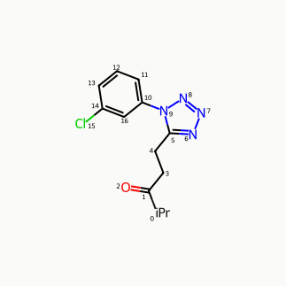 CC(C)C(=O)CCc1nnnn1-c1cccc(Cl)c1